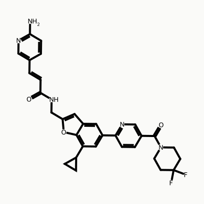 Nc1ccc(C=CC(=O)NCc2cc3cc(-c4ccc(C(=O)N5CCC(F)(F)CC5)cn4)cc(C4CC4)c3o2)cn1